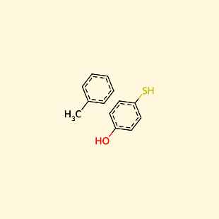 Cc1ccccc1.Oc1ccc(S)cc1